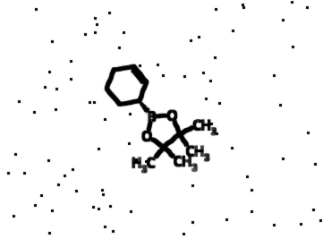 CC1(C)OB([C@@H]2C=CCCC2)OC1(C)C